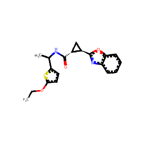 CC(NC(=O)[C@@H]1C[C@H]1c1nc2ccccc2o1)c1ccc(OCC(F)(F)F)s1